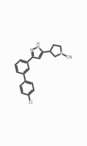 N#CN1CCC(c2cc(-c3cccc(-c4ccc(Cl)cc4)c3)n[nH]2)C1